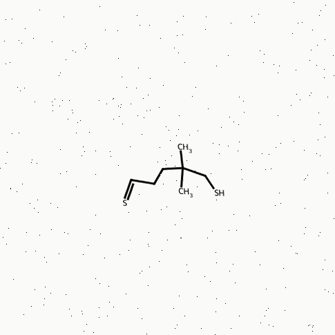 CC(C)(CS)CCC=S